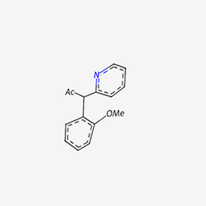 COc1ccccc1C(C(C)=O)c1ccccn1